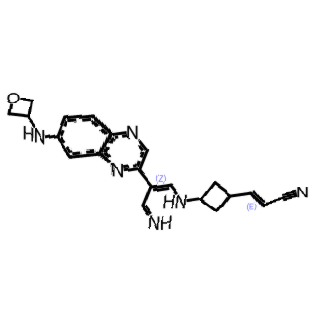 N#C/C=C/C1CC(N/C=C(\C=N)c2cnc3ccc(NC4COC4)cc3n2)C1